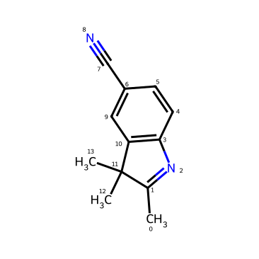 CC1=Nc2ccc(C#N)cc2C1(C)C